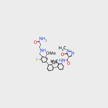 COc1cc(-c2cccc(-c3cccc(NC(=O)c4cncn(C)c4=O)c3C)c2C)cc(F)c1CNCCC(N)=O